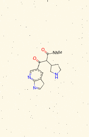 CNC(=O)C(C(=O)c1cnc2c(c1)CC=N2)C1CCNC1